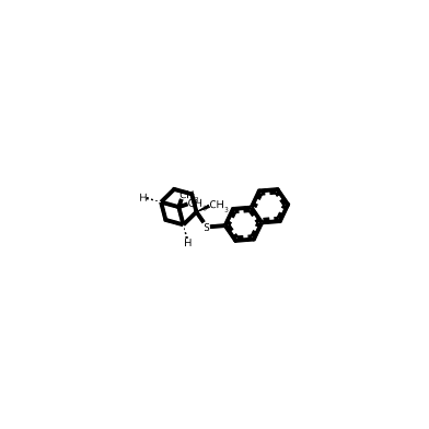 CC1(C)[C@@H]2CC[C@](C)(Sc3ccc4ccccc4c3)[C@H]1C2